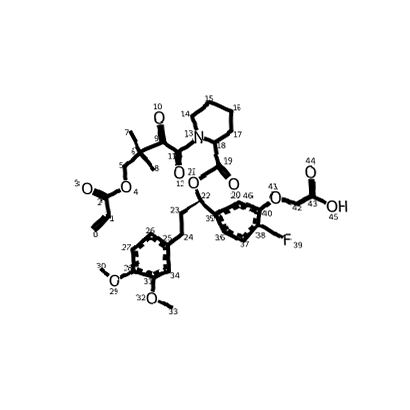 C=CC(=O)OCC(C)(C)C(=O)C(=O)N1CCCCC1C(=O)O[C@H](CCc1ccc(OC)c(OC)c1)c1ccc(F)c(OCC(=O)O)c1